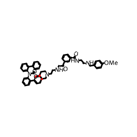 COc1ccc(CNCCNC(=O)c2cccc(C(=O)CNCCN3CCC(OC(=O)N(c4ccccc4-c4ccccc4)c4ccccc4-c4ccccc4)CC3)c2)cc1